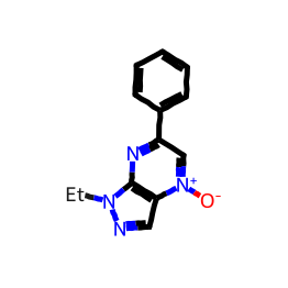 CCn1ncc2c1nc(-c1ccccc1)c[n+]2[O-]